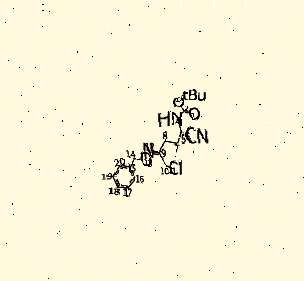 CC(C)(C)OC(=O)N[C@H](C#N)CCC(CCl)=NOCc1ccccc1